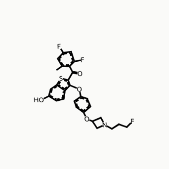 Cc1cc(F)cc(F)c1C(=O)c1sc2cc(O)ccc2c1Oc1ccc(OC2CN(CCCF)C2)cc1